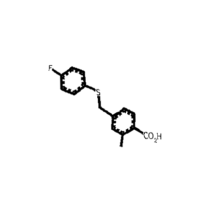 Cc1cc(CSc2ccc(F)cc2)ccc1C(=O)O